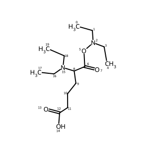 CCN(CC)OC(=O)C(CCCC(=O)O)N(CC)CC